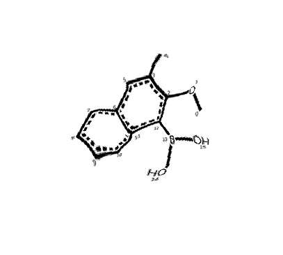 COc1c(C)cc2ccccc2c1B(O)O